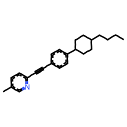 CCCCC1CCC(c2ccc(C#Cc3ccc(C)cn3)cc2)CC1